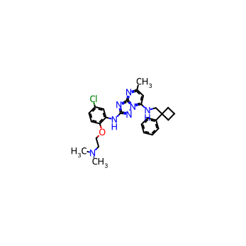 Cc1cc(NCC2(c3ccccc3)CCC2)n2nc(Nc3cc(Cl)ccc3OCCN(C)C)nc2n1